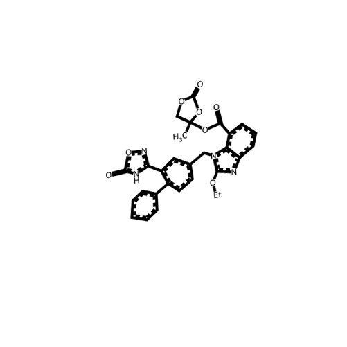 CCOc1nc2cccc(C(=O)OC3(C)COC(=O)O3)c2n1Cc1ccc(-c2ccccc2)c(-c2noc(=O)[nH]2)c1